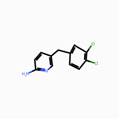 Nc1ccc(Cc2ccc(Cl)c(Cl)c2)cn1